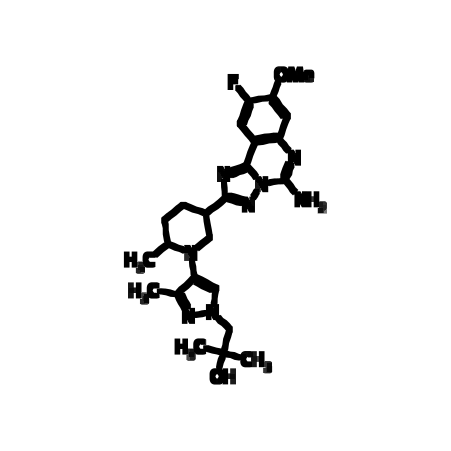 COc1cc2nc(N)n3nc(C4CCC(C)N(c5cn(CC(C)(C)O)nc5C)C4)nc3c2cc1F